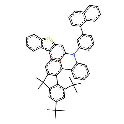 CC(C)(C)c1cc(C(C)(C)C)c2c(c1)C(C)(C)c1cccc(-c3ccccc3N(c3cccc(-c4cccc5ccccc45)c3)c3ccc4c(c3)sc3ccccc34)c1-2